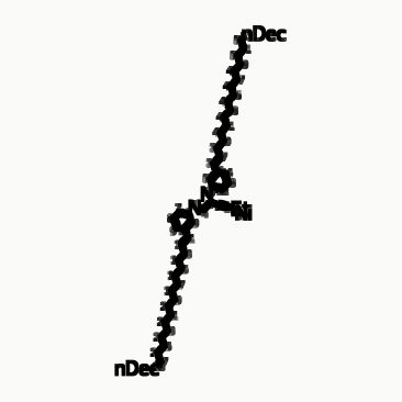 CCC#CC(C=Nc1cccc(C=CCCCCCCCCCCCCCCCCCCCCCCCCC)c1)=Nc1cccc(C=CCCCCCCCCCCCCCCCCCCCCCCCCC)c1.[Ni]